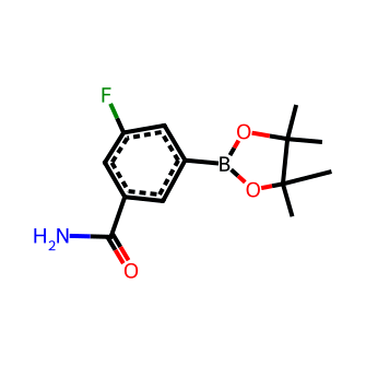 CC1(C)OB(c2cc(F)cc(C(N)=O)c2)OC1(C)C